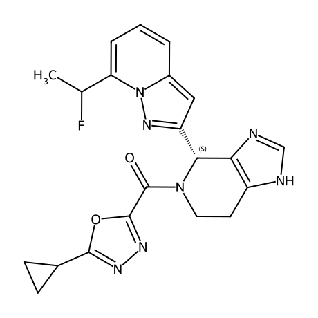 CC(F)c1cccc2cc([C@@H]3c4nc[nH]c4CCN3C(=O)c3nnc(C4CC4)o3)nn12